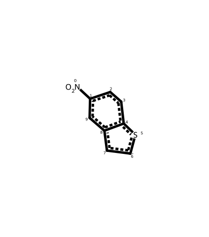 O=[N+]([O-])c1ccc2s[c]cc2c1